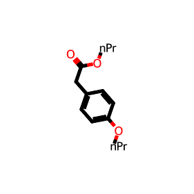 CCCOC(=O)Cc1ccc(OCCC)cc1